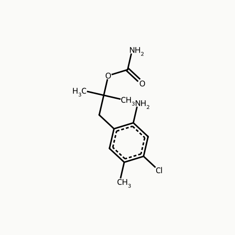 Cc1cc(CC(C)(C)OC(N)=O)c(N)cc1Cl